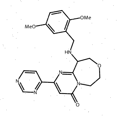 COc1ccc(OC)c(CNC2COCCn3c2nc(-c2ccncn2)cc3=O)c1